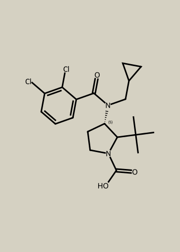 CC(C)(C)C1[C@@H](N(CC2CC2)C(=O)c2cccc(Cl)c2Cl)CCN1C(=O)O